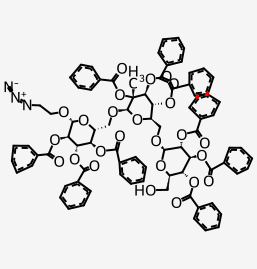 C[C@]1(OC(=O)c2ccccc2)[C@H](OC[C@H]2O[C@@H](OCCN=[N+]=[N-])[C@H](OC(=O)c3ccccc3)[C@@H](OC(=O)c3ccccc3)[C@@H]2OC(=O)c2ccccc2)O[C@H](CO[C@@H]2O[C@H](CO)[C@@H](OC(=O)c3ccccc3)[C@H](OC(=O)c3ccccc3)[C@H]2OC(=O)c2ccccc2)[C@@H](OC(=O)c2ccccc2)[C@@H]1OC(=O)c1ccccc1